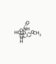 COc1ccc(C[C@H]2NC[C@H](O)[C@H]2OC(=O)NCC2COC2)cc1